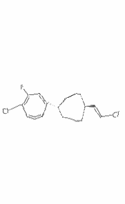 Fc1cc([C@H]2CC[C@H](/C=C/Cl)CC2)ccc1Cl